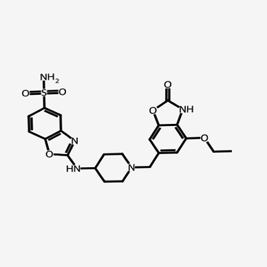 CCOc1cc(CN2CCC(Nc3nc4cc(S(N)(=O)=O)ccc4o3)CC2)cc2oc(=O)[nH]c12